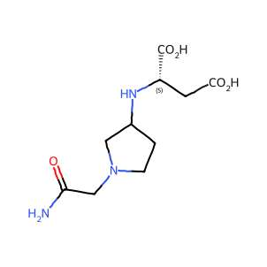 NC(=O)CN1CCC(N[C@@H](CC(=O)O)C(=O)O)C1